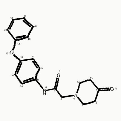 O=C1CCN(CC(=O)Nc2ccc(Oc3ccccc3)cc2)CC1